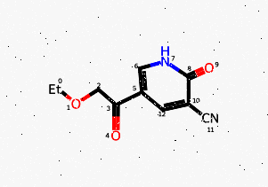 CCOCC(=O)c1c[nH]c(=O)c(C#N)c1